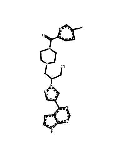 N#CCC(CN1CCN(C(=O)c2ccc(F)cn2)CC1)n1cc(-c2ncnc3[nH]ccc23)cn1